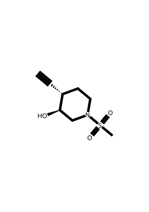 C#C[C@@H]1CCN(S(C)(=O)=O)C[C@H]1O